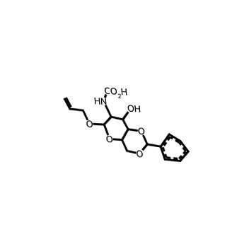 C=CCOC1OC2COC(c3ccccc3)OC2C(O)C1NC(=O)O